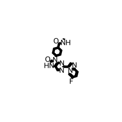 CNC(=O)C1CCC(n2c(=O)[nH]c3cnc(-c4cnc5ccc(F)cn45)nc32)CC1